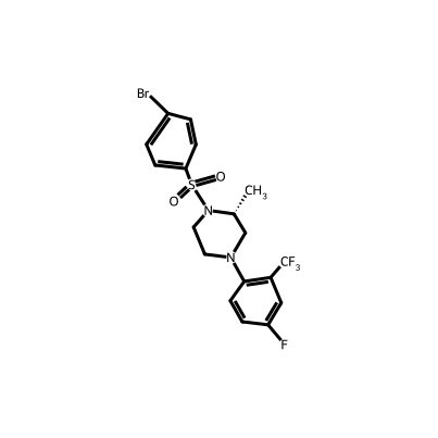 C[C@@H]1CN(c2ccc(F)cc2C(F)(F)F)CCN1S(=O)(=O)c1ccc(Br)cc1